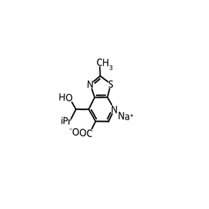 Cc1nc2c(C(O)C(C)C)c(C(=O)[O-])cnc2s1.[Na+]